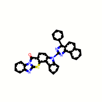 O=c1c2ccc3c(c4ccccc4n3-c3nc(-c4ccccc4)c4ccc5ccccc5c4n3)c2sc2nc3ccccc3n12